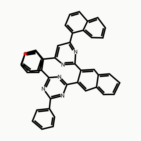 c1ccc(-c2cc(-c3cccc4ccccc34)nc(-c3cc4ccccc4cc3-c3nc(-c4ccccc4)nc(-c4ccccc4)n3)n2)cc1